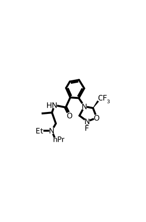 CCCN(CC)CC(C)NC(=O)c1ccccc1N1CN(F)O[C@@H]1C(F)(F)F